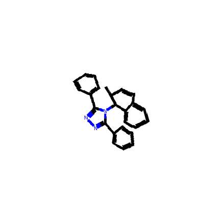 CC1C=Cc2ccccc2C1n1c(-c2ccccc2)nnc1-c1ccccc1